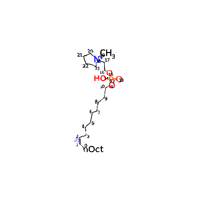 CCCCCCCC/C=C\CCCCCCCCOP(=O)(O)OCC[N+]1(C)CCCC1